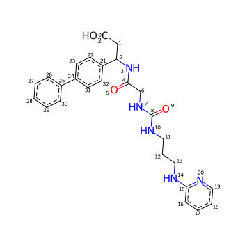 O=C(O)CC(NC(=O)CNC(=O)NCCCNc1ccccn1)c1ccc(-c2ccccc2)cc1